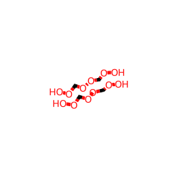 OOCOOCOO.OOCOOCOO